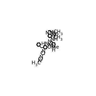 COc1cc(N2CCC(N3CCN(C)CC3)CC2)c(Cc2ccccc2)cc1Nc1nc(Nc2ccc3nccnc3c2N(C)S(C)(=O)=O)c2cc[nH]c2n1